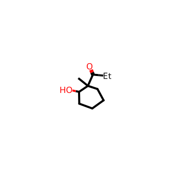 CCC(=O)C1(C)CCCCC1O